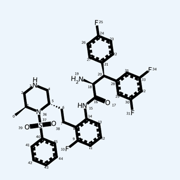 C[C@H]1CNC[C@H](CCc2c(F)cccc2NC(=O)[C@@H](N)[C@@H](c2ccc(F)cc2)c2cc(F)cc(F)c2)N1S(=O)(=O)c1ccccc1